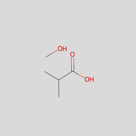 CC(C)C(=O)O.CO